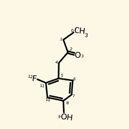 CCC(=O)Cc1ccc(O)cc1F